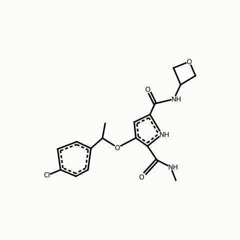 CNC(=O)c1[nH]c(C(=O)NC2COC2)cc1OC(C)c1ccc(Cl)cc1